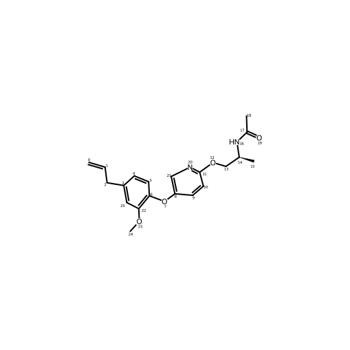 C=CCc1ccc(Oc2ccc(OC[C@H](C)NC(C)=O)nc2)c(OC)c1